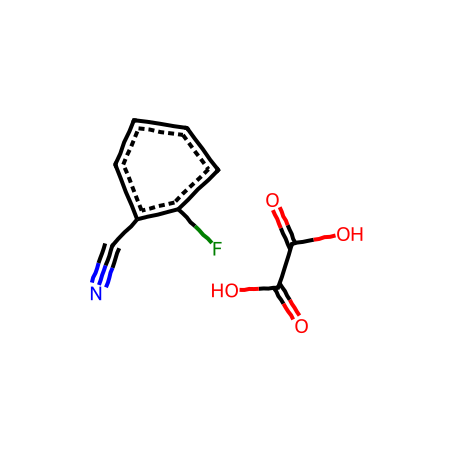 N#Cc1ccccc1F.O=C(O)C(=O)O